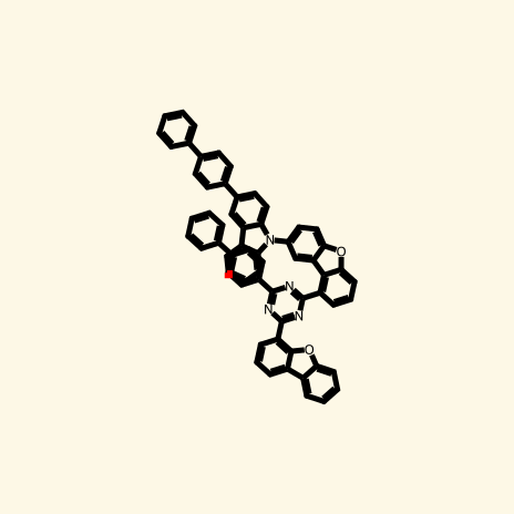 c1ccc(-c2ccc(-c3ccc4c(c3)c3ccccc3n4-c3ccc4oc5cccc(-c6nc(-c7ccc(-c8ccccc8)cc7)nc(-c7cccc8c7oc7ccccc78)n6)c5c4c3)cc2)cc1